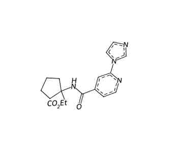 CCOC(=O)C1(NC(=O)c2ccnc(-n3ccnc3)c2)CCCC1